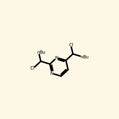 CCCCC(Cl)c1ccnc(C(Cl)CCCC)n1